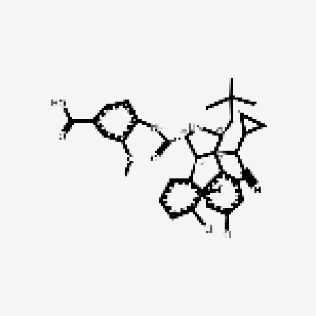 COc1cc(C(=O)O)ccc1NC(=O)[C@@H]1N[C@@H](CC(C)(C)C)[C@@](c2ccc(Cl)cc2F)(C(C#N)C2CC2)[C@H]1c1cccc(Cl)c1F